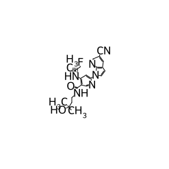 C[C@H](CF)Nc1cc(-n2ccc3cc(C#N)cnc32)ncc1C(=O)NCCC(C)(C)O